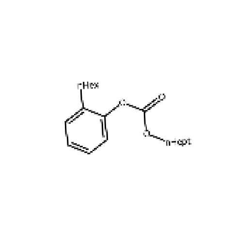 CCCCCCCOC(=O)Oc1ccccc1CCCCCC